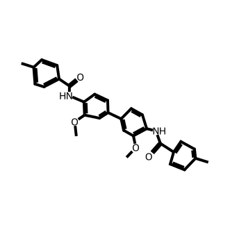 COc1cc(-c2ccc(NC(=O)c3ccc(C)cc3)c(OC)c2)ccc1NC(=O)c1ccc(C)cc1